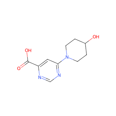 O=C(O)c1cc(N2CCC(O)CC2)ncn1